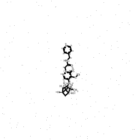 CCSc1c(N[C@@H]2C[C@H]3C[C@H]([C@@H]2C)C3(C)C)cnn(CC(=O)NCc2ccncc2)c1=O